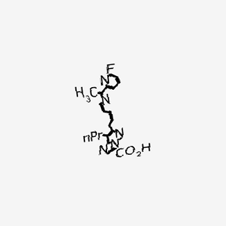 CCCc1c(C\C=C/C=C\N=C(/C)c2cccc(F)n2)ncn2c(C(=O)O)cnc12